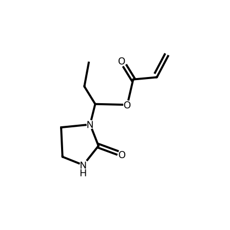 C=CC(=O)OC(CC)N1CCNC1=O